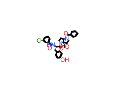 O=C(N[C@@H](Cc1ccc(O)cc1)C(=O)N1CCC2[C@H]1C(=O)CN2C(=O)c1ccccc1)c1cccc(Cl)c1